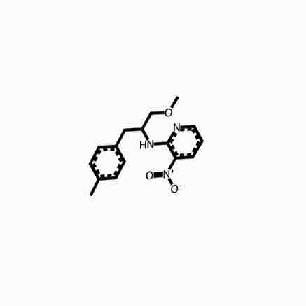 COCC(Cc1ccc(C)cc1)Nc1ncccc1[N+](=O)[O-]